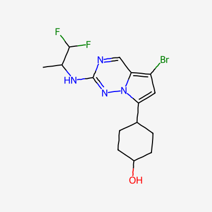 CC(Nc1ncc2c(Br)cc(C3CCC(O)CC3)n2n1)C(F)F